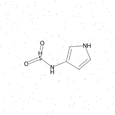 O=[SH](=O)Nc1cc[nH]c1